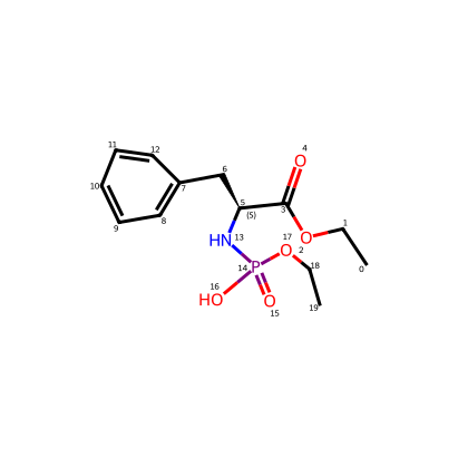 CCOC(=O)[C@H](Cc1ccccc1)NP(=O)(O)OCC